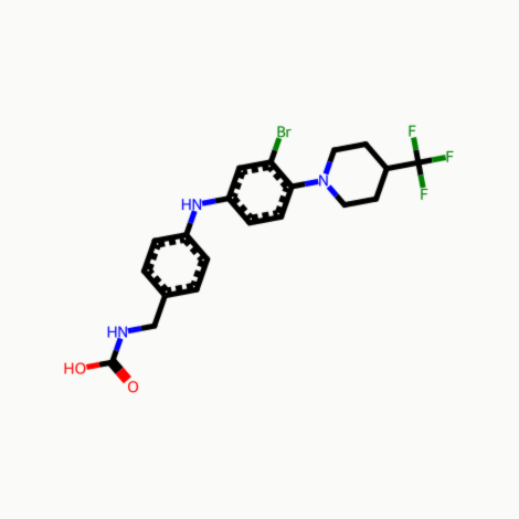 O=C(O)NCc1ccc(Nc2ccc(N3CCC(C(F)(F)F)CC3)c(Br)c2)cc1